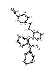 CN(c1cccnc1)c1ncccc1-c1ncccc1CCc1ccc(C#N)cc1